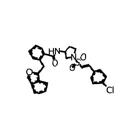 O=C(NC1CCN(S(=O)(=O)C=Cc2ccc(Cl)cc2)C1)c1ccccc1Cc1occ2ccccc12